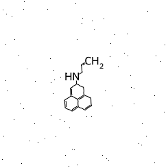 C=CCNC1C=c2cccc3c2=C(CC=C3)C1